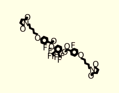 O=C(Oc1ccc(OC(=O)c2ccc(OCCCCCN3C(=O)C=CC3=O)cc2F)c(C(F)(F)F)c1C(F)(F)F)c1ccc(OCCCCCN2C(=O)C=CC2=O)cc1F